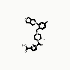 Cc1ccc(CN2CCN(C(=O)n3ccc(C(=O)O)n3)[C@@H](C)C2)c(N2CC3COCC3C2)c1